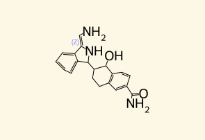 N/C=C1\NC(C2CCc3cc(C(N)=O)ccc3C2O)c2ccccc21